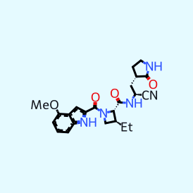 CC[C@H]1CN(C(=O)c2cc3c(OC)cccc3[nH]2)[C@@H]1C(=O)N[C@H](C#N)C[C@@H]1CCNC1=O